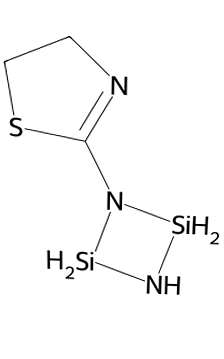 C1CSC(N2[SiH2]N[SiH2]2)=N1